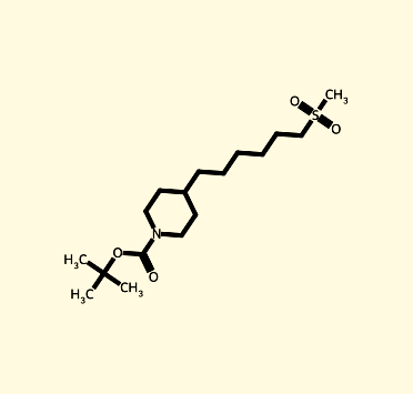 CC(C)(C)OC(=O)N1CCC(CCCCCCS(C)(=O)=O)CC1